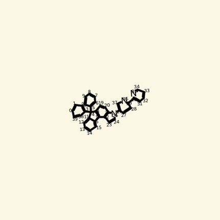 c1ccc(C2(c3ccccc3)c3ccccc3-c3c2ccc2c3ccn2-c2ccc(-c3ccccn3)nc2)cc1